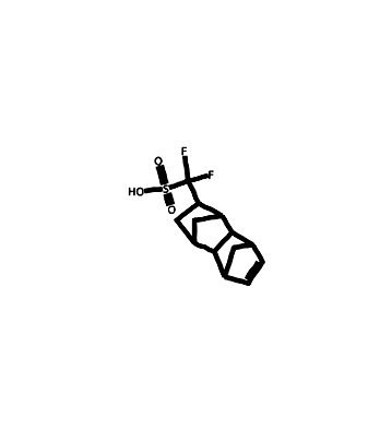 O=S(=O)(O)C(F)(F)C1CC2CC1C1C3C=CC(C3)C21